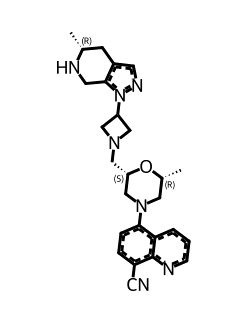 C[C@@H]1Cc2cnn(C3CN(C[C@H]4CN(c5ccc(C#N)c6ncccc56)C[C@@H](C)O4)C3)c2CN1